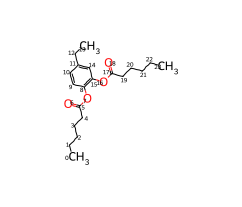 CCCCCC(=O)Oc1ccc(CC)cc1OC(=O)CCCCC